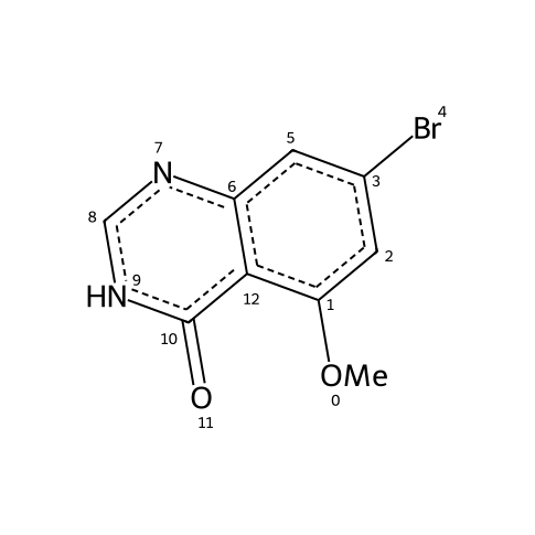 COc1cc(Br)cc2nc[nH]c(=O)c12